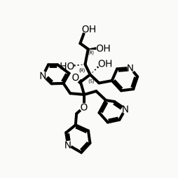 O=C(C(Cc1cccnc1)(Cc1cccnc1)OCc1cccnc1)[C@](O)(Cc1cccnc1)[C@H](O)[C@H](O)CO